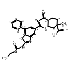 CCNC(=O)Nc1nc2cc(/C(S)=N/C(=N)N3CCC(C)(C(=O)O)CC3)cc(-c3ccccn3)c2s1